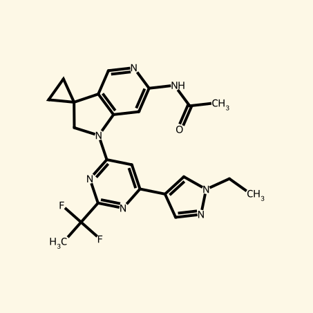 CCn1cc(-c2cc(N3CC4(CC4)c4cnc(NC(C)=O)cc43)nc(C(C)(F)F)n2)cn1